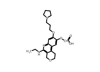 CCNc1nc2cc(OCCCN3CCCC3)c(OC)cc2c2c1COCC2.O=CO